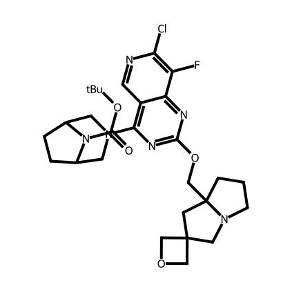 CC(C)(C)OC(=O)N1C2CCC1CN(c1nc(OCC34CCCN3CC3(COC3)C4)nc3c(F)c(Cl)ncc13)C2